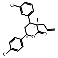 C=CC[C@]1(C)C(=O)O[C@@H](c2ccc(Cl)cc2)CC1c1cccc(Cl)c1